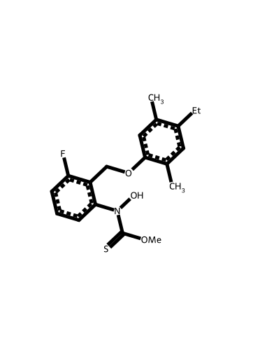 CCc1cc(C)c(OCc2c(F)cccc2N(O)C(=S)OC)cc1C